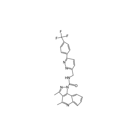 Cc1nc2ccccc2c2c1c(C)nn2C(=O)NCc1ccc(-c2ccc(C(F)(F)F)cc2)nn1